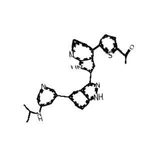 CC(=O)c1ccc(-c2ccnc3[nH]c(-c4n[nH]c5ccc(-c6cncc(NC(C)C)c6)cc45)cc23)s1